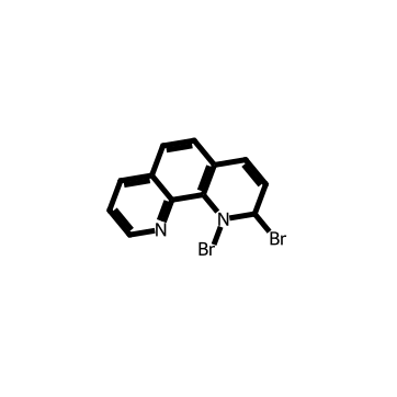 BrC1C=Cc2ccc3cccnc3c2N1Br